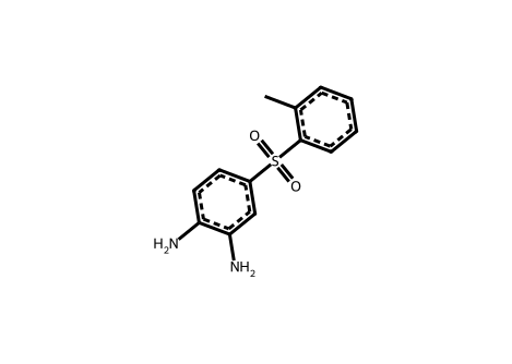 Cc1ccccc1S(=O)(=O)c1ccc(N)c(N)c1